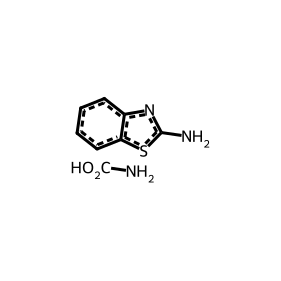 NC(=O)O.Nc1nc2ccccc2s1